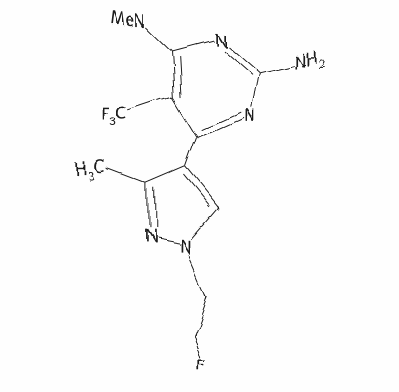 CNc1nc(N)nc(-c2cn(CCF)nc2C)c1C(F)(F)F